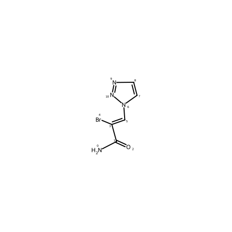 NC(=O)C(Br)=Cn1ccnn1